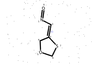 O=N/C=C1\COCS1